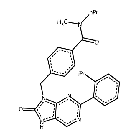 CCCN(C)C(=O)c1ccc(Cn2c(=O)[nH]c3cnc(-c4ccccc4C(C)C)nc32)cc1